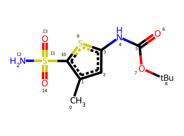 Cc1cc(NC(=O)OC(C)(C)C)sc1S(N)(=O)=O